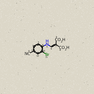 N#Cc1ccc(NC=C(C(=O)O)C(=O)O)c(Br)c1